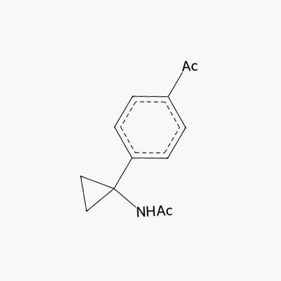 CC(=O)NC1(c2ccc(C(C)=O)cc2)CC1